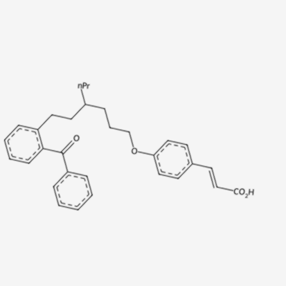 CCCC(CCCOc1ccc(C=CC(=O)O)cc1)CCc1ccccc1C(=O)c1ccccc1